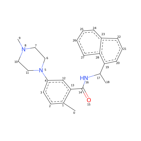 Cc1ccc(N2CCN(C)CC2)cc1C(=O)NC(C)c1cccc2ccccc12